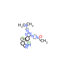 C=CC(=O)N1CCN(c2nc(N3CC(N(C)C)C3)nc3c(F)c(-c4c(C)ccc5cn[nH]c45)c(Cl)cc23)CC1